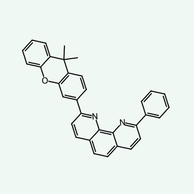 CC1(C)c2ccccc2Oc2cc(-c3ccc4ccc5ccc(-c6ccccc6)nc5c4n3)ccc21